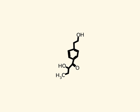 CCC(O)C(=O)c1ccc(CCO)cc1